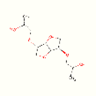 CC(O)CO[C@H]1COC2C1OC[C@H]2OCC(C)O